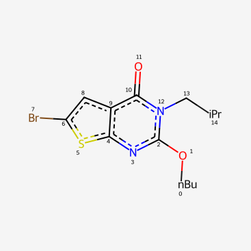 CCCCOc1nc2sc(Br)cc2c(=O)n1CC(C)C